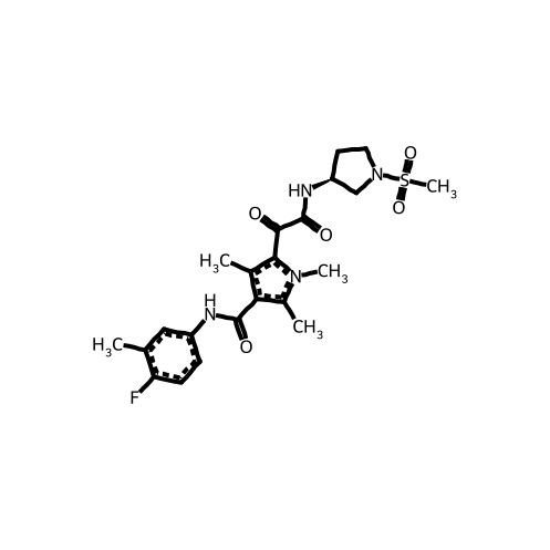 Cc1cc(NC(=O)c2c(C)c(C(=O)C(=O)N[C@H]3CCN(S(C)(=O)=O)C3)n(C)c2C)ccc1F